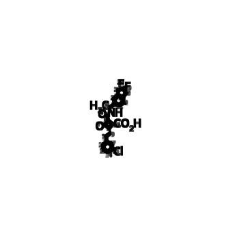 C[C@@H](NC(=O)C1C(=O)[C@H](CCc2cccc(Cl)c2)[C@H]1C(=O)O)c1ccc2c(c1)CC(F)(F)C2